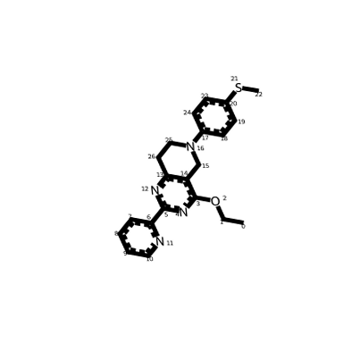 CCOc1nc(-c2ccccn2)nc2c1CN(c1ccc(SC)cc1)CC2